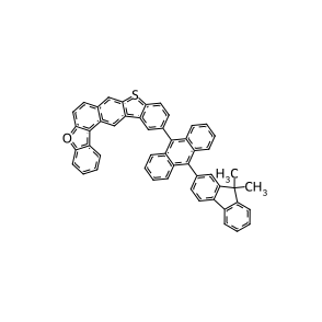 CC1(C)c2ccccc2-c2ccc(-c3c4ccccc4c(-c4ccc5sc6cc7ccc8oc9ccccc9c8c7cc6c5c4)c4ccccc34)cc21